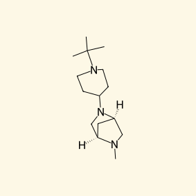 CN1C[C@H]2C[C@@H]1CN2C1CCN(C(C)(C)C)CC1